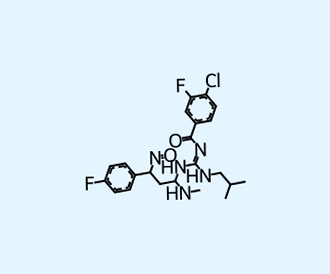 CNC(CC(N=O)c1ccc(F)cc1)N/C(=N\C(=O)c1ccc(Cl)c(F)c1)NCC(C)C